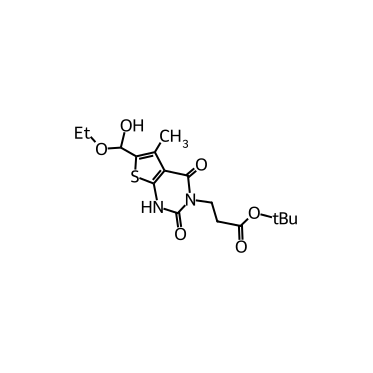 CCOC(O)c1sc2[nH]c(=O)n(CCC(=O)OC(C)(C)C)c(=O)c2c1C